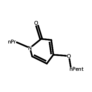 CCCCCOc1ccn(CCC)c(=O)c1